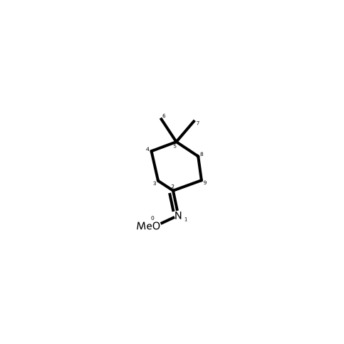 CON=C1CCC(C)(C)CC1